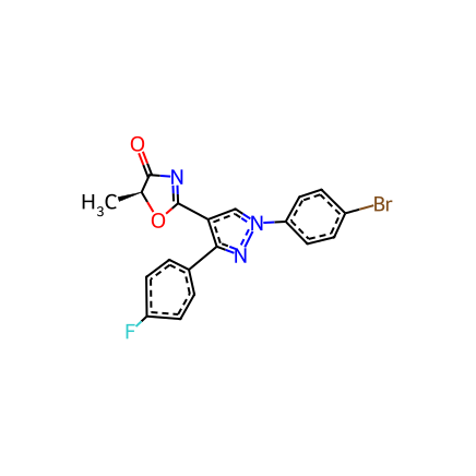 C[C@@H]1OC(c2cn(-c3ccc(Br)cc3)nc2-c2ccc(F)cc2)=NC1=O